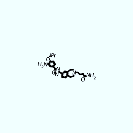 CC(C)Oc1ccc(-c2nc(-c3ccc4c(c3)CCN(CCCC(N)=O)CC4)no2)cc1N